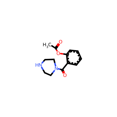 CC(=O)Oc1ccccc1C(=O)N1CCNCC1